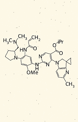 C=CC(=O)Nc1cc(Nc2ncc(C(=O)OC(C)C)c(N3CC4(CC4)c4nc(C)ccc43)n2)c(OC)cc1N1CCC[C@H]1CN(C)C